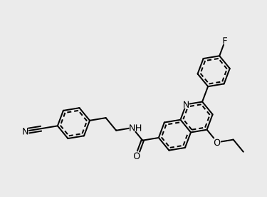 CCOc1cc(-c2ccc(F)cc2)nc2cc(C(=O)NCCc3ccc(C#N)cc3)ccc12